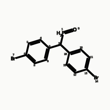 O=[PH2]C(c1ccc(Br)cc1)c1ccc(Br)cc1